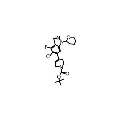 CC(C)(C)OC(=O)N1CC=C(c2cc3c(cnn3C3CCCCO3)c(F)c2Cl)CC1